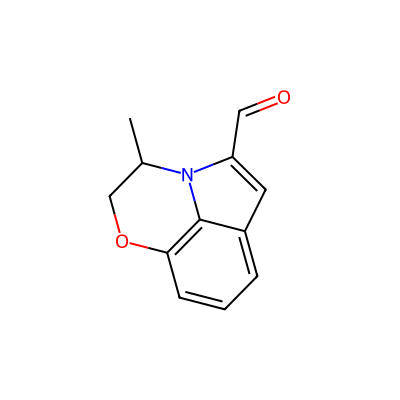 CC1COc2cccc3cc(C=O)n1c23